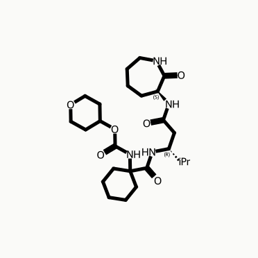 CC(C)[C@@H](CC(=O)N[C@H]1CCCCNC1=O)NC(=O)C1(NC(=O)OC2CCOCC2)CCCCC1